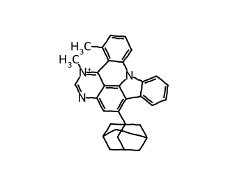 Cc1cccc2c1c1c3c(cc(C45CC6CC(CC(C6)C4)C5)c4c5ccccc5n2c43)nc[n+]1C